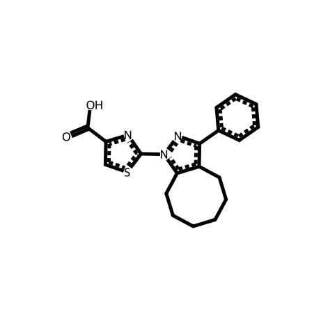 O=C(O)c1csc(-n2nc(-c3ccccc3)c3c2CCCCCC3)n1